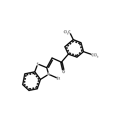 CCN1C(=CC(=O)c2cc(C(Cl)(Cl)Cl)cc(C(Cl)(Cl)Cl)c2)Sc2ccccc21